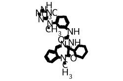 Cc1ccc(NC(=O)N[C@]2(C3CCCCC3)N=Cc3ccccc3N(C)C2=O)cc1N(C)c1nnn[nH]1